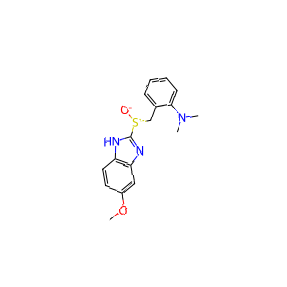 COc1ccc2[nH]c([S+]([O-])Cc3ccccc3N(C)C)nc2c1